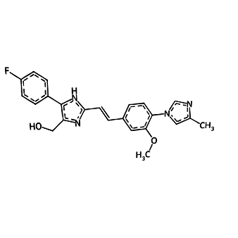 COc1cc(C=Cc2nc(CO)c(-c3ccc(F)cc3)[nH]2)ccc1-n1cnc(C)c1